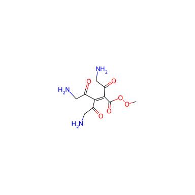 COOC(=O)C(C(=O)CN)=C(C(=O)CN)C(=O)CN